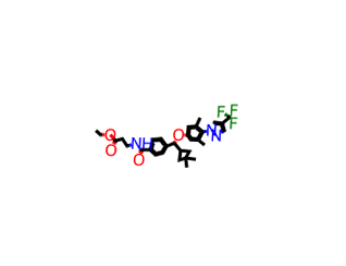 CCOC(=O)CCNC(=O)c1ccc(C(Oc2cc(C)c(-n3cc(C(F)(F)F)cn3)c(C)c2)C2CC(C)(C)C2)cc1